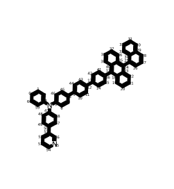 c1ccc(N(c2ccc(-c3ccc(-c4ccc(-c5c6ccccc6c(-c6cccc7ccccc67)c6ccccc56)cc4)cc3)cc2)c2ccc(-c3cccnc3)cc2)cc1